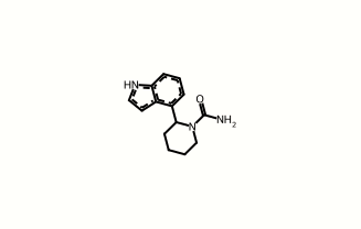 NC(=O)N1CCCCC1c1cccc2[nH]ccc12